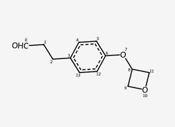 O=CCCc1ccc(OC2COC2)cc1